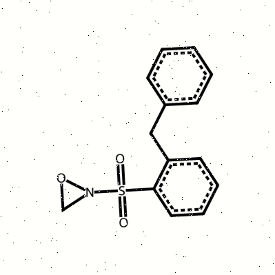 O=S(=O)(c1ccccc1Cc1ccccc1)N1CO1